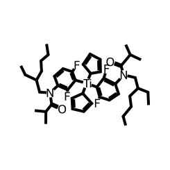 CCCCC(CC)CN(C(=O)C(C)C)c1ccc(F)[c]([Ti]([c]2c(F)ccc(N(CC(CC)CCCC)C(=O)C(C)C)c2F)([CH]2C=CC=C2)[CH]2C=CC=C2)c1F